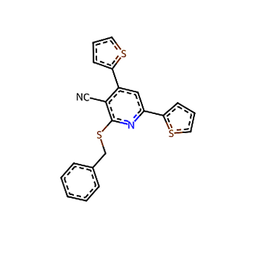 N#Cc1c(-c2cccs2)cc(-c2cccs2)nc1SCc1ccccc1